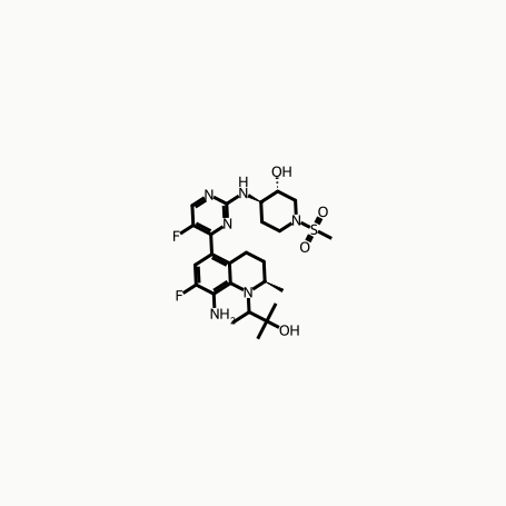 CC(N1c2c(N)c(F)cc(-c3nc(N[C@@H]4CCN(S(C)(=O)=O)C[C@H]4O)ncc3F)c2CC[C@H]1C)C(C)(C)O